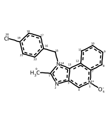 Cc1nc2c[n+]([O-])c3ccccc3c2n1Cc1ccc(Cl)cc1